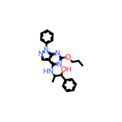 CCCOc1nc(NC(C)C(O)c2ccccc2)c2cnn(-c3ccccc3)c2n1